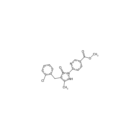 COC(=O)c1ccc(-n2[nH]c(C)c(Cc3ccccc3Cl)c2=O)nc1